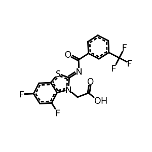 O=C(O)Cn1c(=NC(=O)c2cccc(C(F)(F)F)c2)sc2cc(F)cc(F)c21